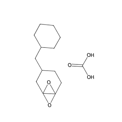 C1CCC(CC2CCC34OC3(C2)O4)CC1.O=C(O)O